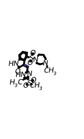 CCN1CCCN(S(=O)(=O)c2cccc3c2/C(=C/c2nc(S(C)(=O)=O)c(C)[nH]2)C(=O)N3)CC1